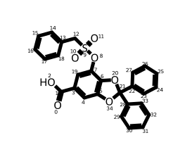 O=C(O)c1cc2c(c(OS(=O)(=O)Cc3ccccc3)c1)OC(c1ccccc1)(c1ccccc1)O2